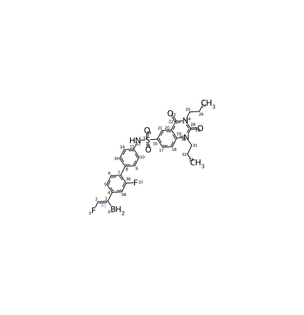 B/C(=C\F)c1ccc(-c2ccc(NS(=O)(=O)c3ccc4c(c3)c(=O)n(CCC)c(=O)n4CCC)cc2)c(F)c1